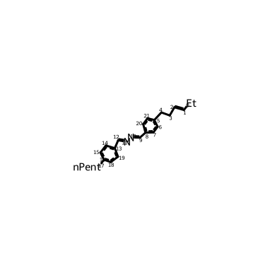 CCC=CCCc1ccc(C=NN=Cc2ccc(CCCCC)cc2)cc1